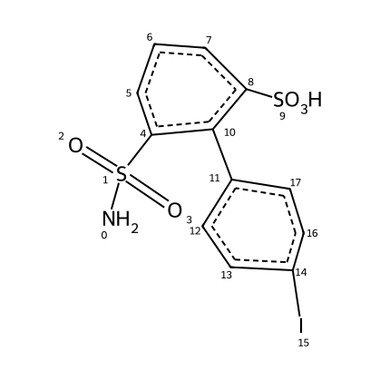 NS(=O)(=O)c1cccc(S(=O)(=O)O)c1-c1ccc(I)cc1